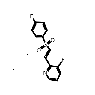 O=S(=O)(C=Cc1ncccc1F)c1ccc(F)cc1